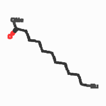 CCC(C)CCCCCCCCCCC(=O)OC